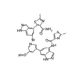 COc1cncc(-c2cc(NC(=O)c3csc(C)n3)c3cn[nH]c3c2)c1.Cc1nc(C(N)=O)c(-c2cc(Br)cc3[nH]ncc23)s1